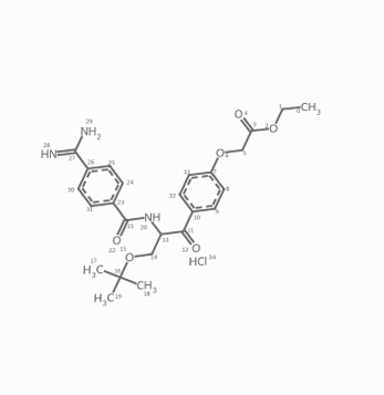 CCOC(=O)COc1ccc(C(=O)C(COC(C)(C)C)NC(=O)c2ccc(C(=N)N)cc2)cc1.Cl